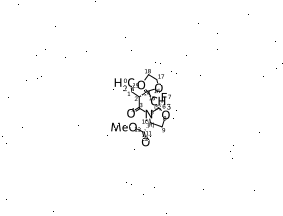 C=CC(C(=O)N1[C@H](F)OC[C@@H]1C(=O)OC)C1(C)OCCO1